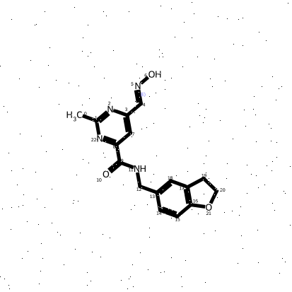 Cc1nc(/C=N/O)cc(C(=O)NCc2ccc3c(c2)CCO3)n1